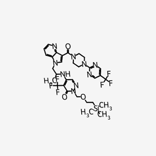 CC(Cn1cc(C(=O)N2CCN(c3ncc(C(F)(F)F)cn3)CC2)c2ncccc21)Nc1cnn(COCC[Si](C)(C)C)c(=O)c1C(F)(F)F